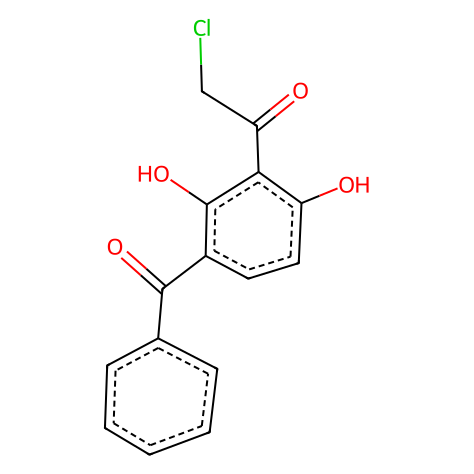 O=C(c1ccccc1)c1ccc(O)c(C(=O)CCl)c1O